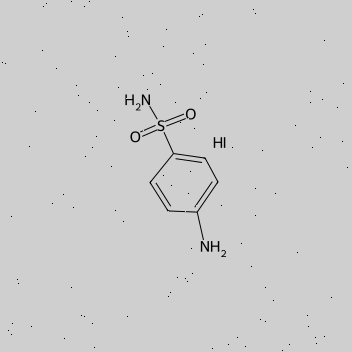 I.Nc1ccc(S(N)(=O)=O)cc1